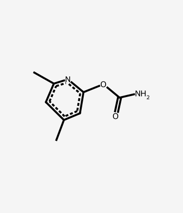 Cc1cc(C)nc(OC(N)=O)c1